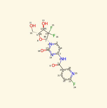 O=C(Nc1ccn([C@@H]2O[C@H](CO)[C@@H](O)C2(F)F)c(=O)n1)c1ccc(F)nc1